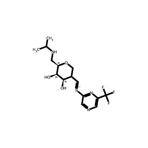 CC(C)NC[C@H]1OCC(/C=N/c2cncc(C(F)(F)F)n2)[C@@H](O)[C@H]1O